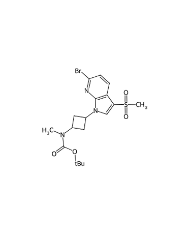 CN(C(=O)OC(C)(C)C)C1CC(n2cc(S(C)(=O)=O)c3ccc(Br)nc32)C1